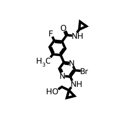 Cc1cc(F)c(C(=O)NC2CC2)cc1-c1cnc(NC2(CO)CC2)c(Br)n1